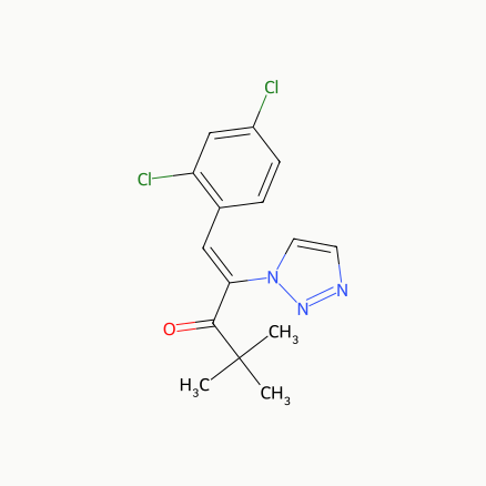 CC(C)(C)C(=O)/C(=C/c1ccc(Cl)cc1Cl)n1ccnn1